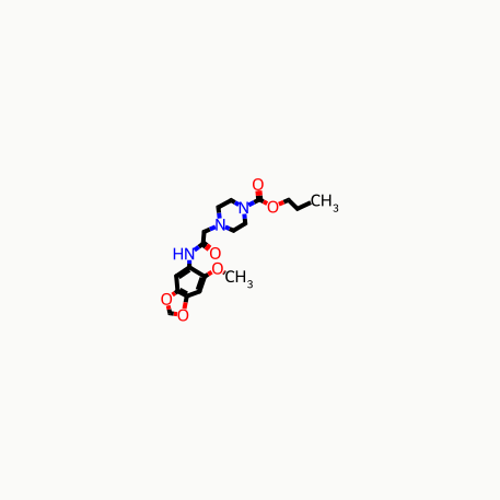 CCCOC(=O)N1CCN(CC(=O)Nc2cc3c(cc2OC)OCO3)CC1